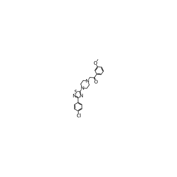 COc1cccc(C(=O)CN2CCN(c3nc(-c4ccc(Cl)cc4)ns3)CC2)c1